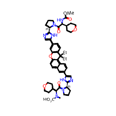 CCC1(CC)c2ccc(-c3cnc([C@H]4CCCN4C(=O)C(NC(=O)OC)C4CCOCC4)[nH]3)cc2Oc2ccc3cc(-c4cnc([C@H]5CCCN5C(=O)C(C5CCOCC5)N(C)C(=O)O)[nH]4)ccc3c21